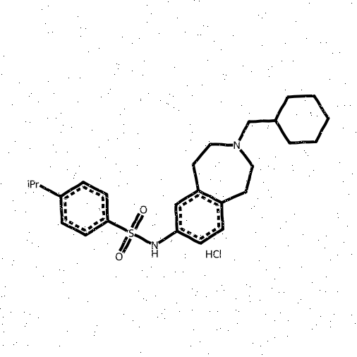 CC(C)c1ccc(S(=O)(=O)Nc2ccc3c(c2)CCN(CC2CCCCC2)CC3)cc1.Cl